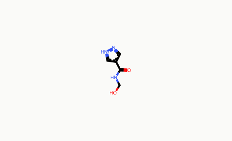 O=C(NCO)c1cn[nH]c1